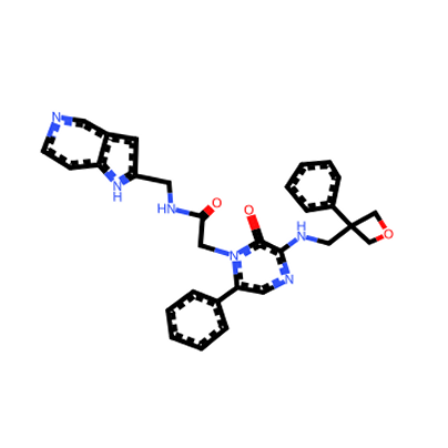 O=C(Cn1c(-c2ccccc2)cnc(NCC2(c3ccccc3)COC2)c1=O)NCc1cc2cnccc2[nH]1